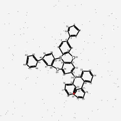 c1ccc(-c2ccc3c(c2)Oc2cc(N(c4ccccc4)c4ccccc4-c4ccccc4)cc4c2B3c2ccc(-c3ccccc3)cc2O4)cc1